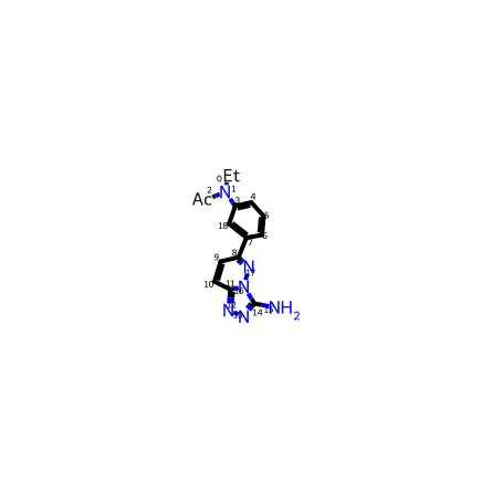 CCN(C(C)=O)c1cccc(-c2ccc3nnc(N)n3n2)c1